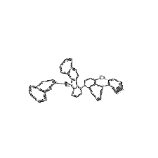 c1ccc2c(c1)Oc1ccc(-c3cccc4c3c3ccc5ccccc5c3n4-c3ccc4ccccc4c3)c3cccc-2c13